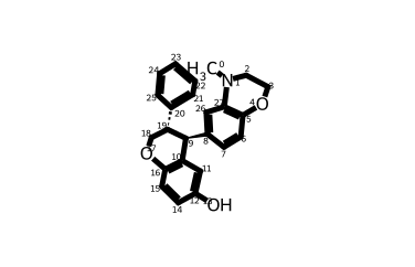 CN1CCOc2ccc([C@H]3c4cc(O)ccc4OC[C@@H]3c3ccccc3)cc21